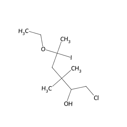 CCOC(C)(I)CC(C)(C)C(O)CCl